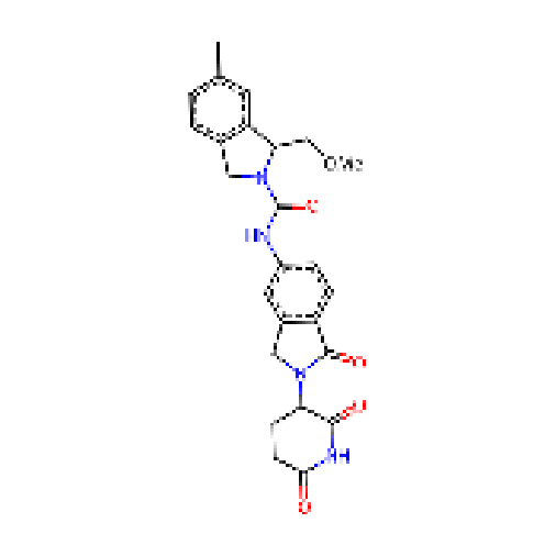 COCC1c2cc(C)ccc2CN1C(=O)Nc1ccc2c(c1)CN(C1CCC(=O)NC1=O)C2=O